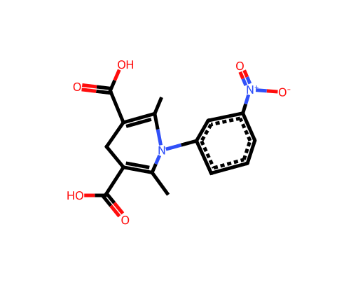 CC1=C(C(=O)O)CC(C(=O)O)=C(C)N1c1cccc([N+](=O)[O-])c1